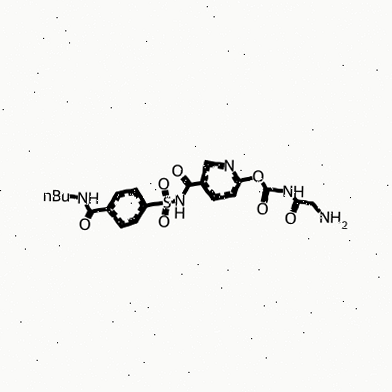 CCCCNC(=O)c1ccc(S(=O)(=O)NC(=O)c2ccc(OC(=O)NC(=O)CN)nc2)cc1